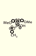 COc1ccc(CN(Cc2ccc(OC)cc2)S(=O)(=O)c2cc(C3(O)CCC3)n(CCOS(=O)(=O)c3ccc(C)cc3)n2)cc1